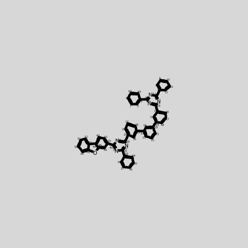 c1ccc(-c2nc(-c3ccccc3)nc(-c3cccc(-c4cccc(-c5cccc(-c6nc(-c7ccccc7)nc(-c7ccc8c(c7)oc7ccccc78)n6)c5)c4)c3)n2)cc1